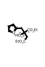 CCOC(=O)CC(Cc1ccco1)(C(=O)OCC)S(=O)(=O)O